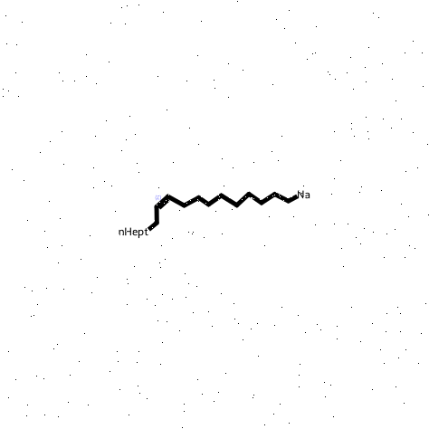 CCCCCCCC/C=C\CCCCCCCC[CH2][Na]